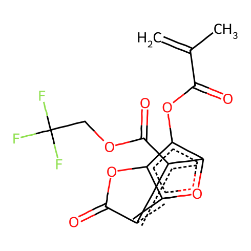 C=C(C)C(=O)Oc1c2c3oc1c(C(=O)OCC(F)(F)F)c3C(=O)O2